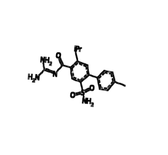 Cc1ccc(-c2cc(C(C)C)c(C(=O)N=C(N)N)cc2S(N)(=O)=O)cc1